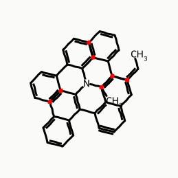 C/C=C\C(=C(/C)N(c1ccccc1-c1ccccc1)c1ccc2ccccc2c1-c1c#ccc2ccccc12)c1ccccc1